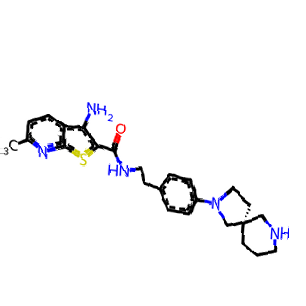 Cc1ccc2c(N)c(C(=O)NCCc3ccc(N4CC[C@]5(CCCNC5)C4)cc3)sc2n1